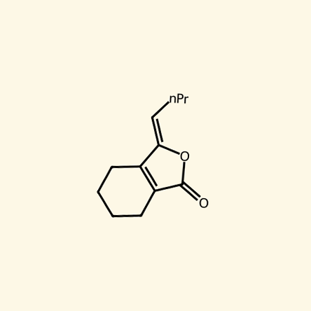 CCC/C=C1\OC(=O)C2=C1CCCC2